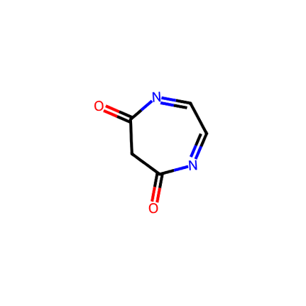 O=C1CC(=O)N=CC=N1